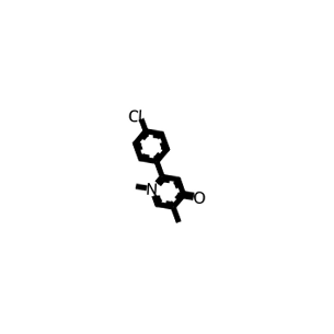 Cc1cn(C)c(-c2ccc(Cl)cc2)cc1=O